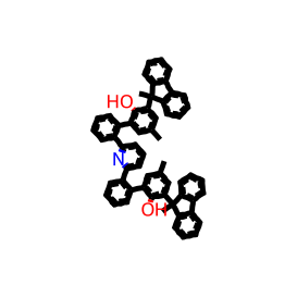 Cc1cc(-c2ccccc2-c2cccc(-c3ccccc3-c3cc(C)cc(C4(C)c5ccccc5-c5ccccc54)c3O)n2)c(O)c(C2(C)c3ccccc3-c3ccccc32)c1